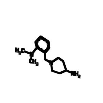 CN(C)c1ccccc1CN1CCC(N)CC1